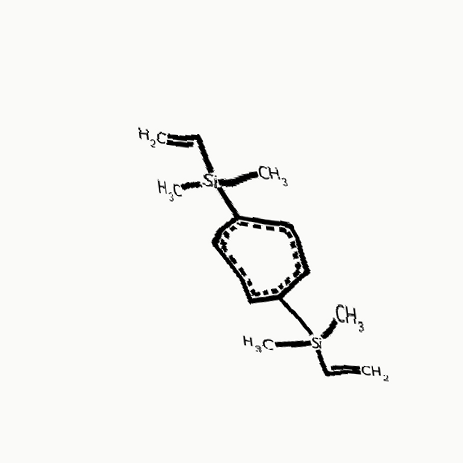 C=C[Si](C)(C)c1ccc([Si](C)(C)C=C)cc1